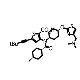 CN(C)Cc1csc(O[C@H]2CC[C@H](N(c3cc(C#CC(C)(C)C)sc3C(=O)O)C(=O)[C@H]3CC[C@H](C)CC3)CC2)n1